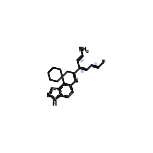 N/C=C/C(=C\C=C\F)C1=Nc2ccc3[nH]ncc3c2C2(CCCCC2)C1